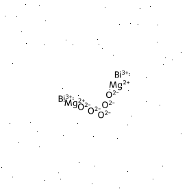 [Bi+3].[Bi+3].[Mg+2].[Mg+2].[O-2].[O-2].[O-2].[O-2].[O-2]